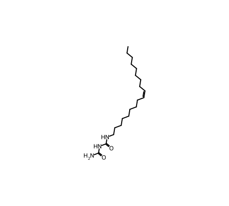 CCCCCCCC/C=C\CCCCCCCCNC(=O)NC(N)=O